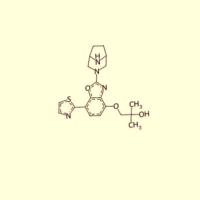 CC(C)(O)COc1ccc(-c2nccs2)c2oc(N3CC4CCC(C3)N4)nc12